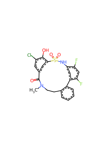 CN1CCc2ccccc2-c2cc(c(F)cc2F)NS(=O)(=O)c2cc(cc(Cl)c2O)C1=O